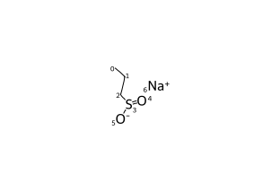 CCCS(=O)[O-].[Na+]